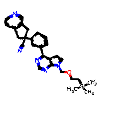 C[Si](C)(C)CCOCn1ccc2c(-c3cccc(C4(C#N)Cc5ccncc5C4)c3)ncnc21